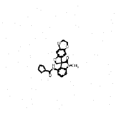 CN1C(=O)C2(COc3cc4c(cc32)OCCO4)c2c(NC(=O)C3CCCC3)cccc21